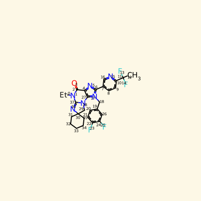 CCN1C(=O)c2nc(-c3ccc(C(C)(F)F)nc3)n(Cc3ccc(F)c(F)c3)c2N2CC3(CCCCC3)N=C12